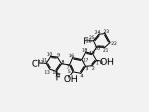 Oc1cc2cc(O)c(-c3ccc(Cl)cc3F)cc2cc1-c1ccccc1F